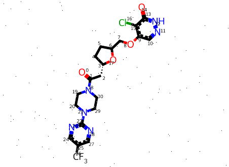 O=C(C[C@@H]1CCC(COc2cn[nH]c(=O)c2Cl)O1)N1CCN(c2ncc(C(F)(F)F)cn2)CC1